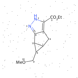 CCOC(=O)c1[nH]nc2c1CC1C(COC)C21